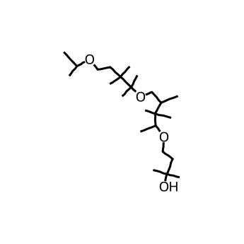 CC(C)OCCC(C)(C)C(C)(C)OCC(C)C(C)(C)C(C)OCCC(C)(C)O